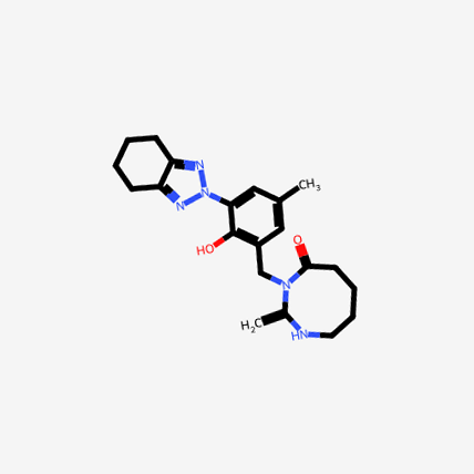 C=C1NCCCCC(=O)N1Cc1cc(C)cc(-n2nc3c(n2)CCCC3)c1O